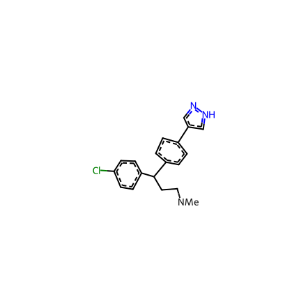 CNCCC(c1ccc(Cl)cc1)c1ccc(-c2cn[nH]c2)cc1